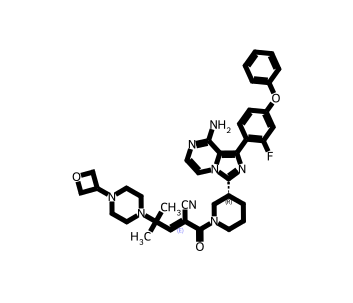 CC(C)(/C=C(\C#N)C(=O)N1CCC[C@@H](c2nc(-c3ccc(Oc4ccccc4)cc3F)c3c(N)nccn23)C1)N1CCN(C2COC2)CC1